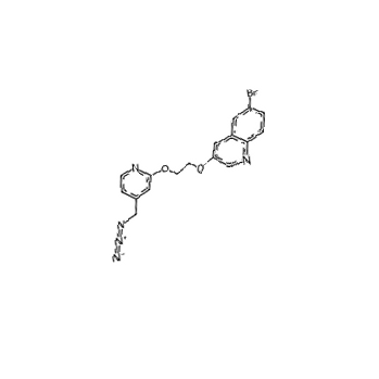 [N-]=[N+]=NCc1ccnc(OCCOc2cnc3ccc(Br)cc3c2)c1